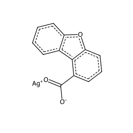 O=C([O-])c1cccc2oc3ccccc3c12.[Ag+]